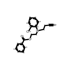 N#CCCN(CCOC(=O)c1ccccc1)c1ccccc1Cl